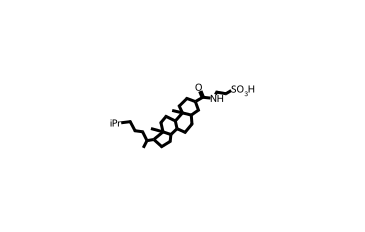 CC(C)CCCC(C)C1CCC2C3CCC4CC(C(=O)NCCS(=O)(=O)O)CCC4(C)C3CCC12C